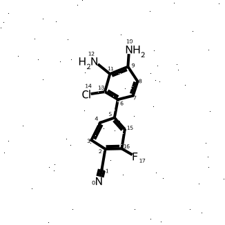 N#Cc1ccc(-c2ccc(N)c(N)c2Cl)cc1F